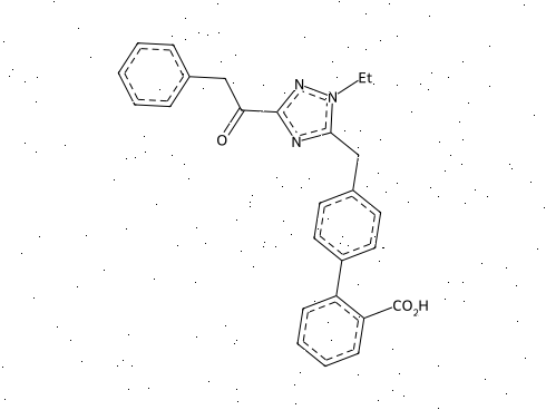 CCn1nc(C(=O)Cc2ccccc2)nc1Cc1ccc(-c2ccccc2C(=O)O)cc1